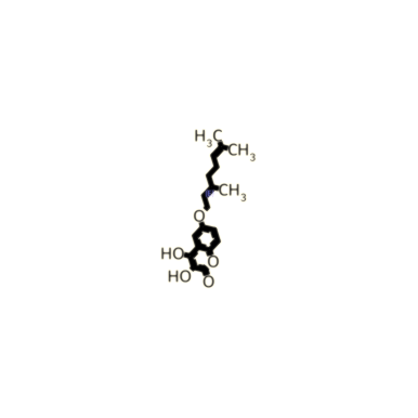 CC(C)=CCC/C(C)=C/COc1ccc2oc(=O)c(O)c(O)c2c1